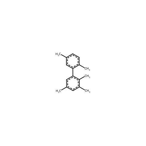 Cc1ccc(C)c(-c2cc(C)cc(C)c2C)c1